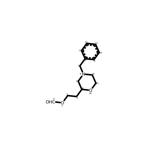 O=COCCC1CN(Cc2ccccc2)CCO1